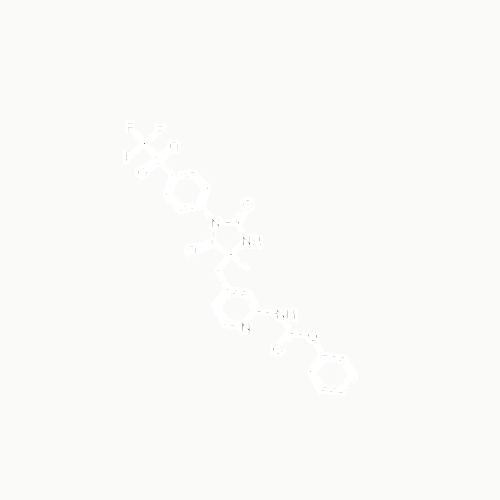 CC1(Cc2ccnc(NC(=O)Oc3ccccc3)c2)NC(=O)N(c2ccc(S(=O)(=O)C(F)(F)F)cc2)C1=O